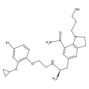 CCc1ccc(OCCN[C@H](C)Cc2cc3c(c(C(N)=O)c2)N(CCCO)CC3)c(OC2CC2)c1